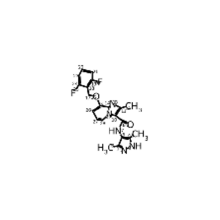 Cc1n[nH]c(C)c1NC(=O)c1c(C)nc2c(OCc3c(F)cccc3F)cccn12